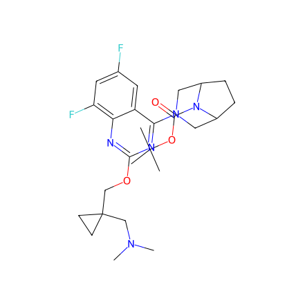 CN(C)CC1(COc2nc(N3CC4CCC(C3)N4C(=O)OC(C)(C)C)c3cc(F)cc(F)c3n2)CC1